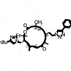 CCCCc1cn(C[C@H]2/C=C(C)/C=C/C(=O)[C@H](C)C[C@H](CCn3cc(-c4ccccc4)nn3)C[C@@H](C)[C@H](O)CC(=O)O[C@@H]2CC)nn1